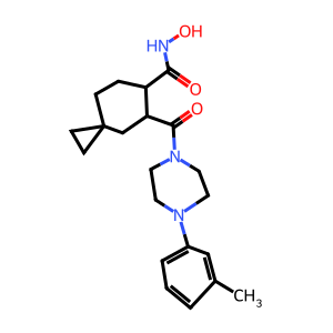 Cc1cccc(N2CCN(C(=O)C3CC4(CCC3C(=O)NO)CC4)CC2)c1